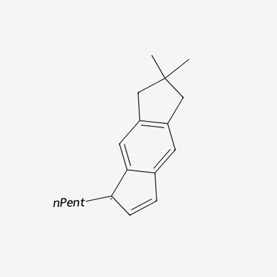 CCCCC[C]1C=Cc2cc3c(cc21)CC(C)(C)C3